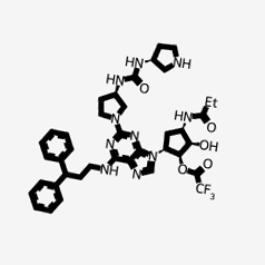 CCC(=O)N[C@H]1C[C@@H](n2cnc3c(NCCC(c4ccccc4)c4ccccc4)nc(N4CC[C@@H](NC(=O)N[C@@H]5CCNC5)C4)nc32)[C@H](OC(=O)C(F)(F)F)[C@@H]1O